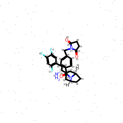 N[C@H](Cc1cc(F)c(F)cc1F)C1C[C@H]2CC[C@@H](C1)N2C(=O)c1ccc(CN2C(=O)CCC2=O)cc1